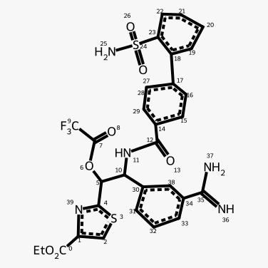 CCOC(=O)c1csc(C(OC(=O)C(F)(F)F)C(NC(=O)c2ccc(-c3ccccc3S(N)(=O)=O)cc2)c2cccc(C(=N)N)c2)n1